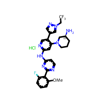 COc1cccc(F)c1-c1nccc(Nc2cc(N3CCC[C@H](N)C3)c(-c3cnn(CC(F)(F)F)c3)cn2)n1.Cl